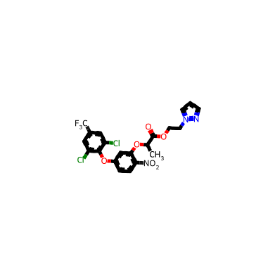 CC(Oc1cc(Oc2c(Cl)cc(C(F)(F)F)cc2Cl)ccc1[N+](=O)[O-])C(=O)OCCn1cccn1